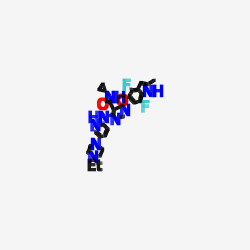 CCN1CCN(c2ccc(Nc3ncnc(Oc4cc(F)c5[nH]c(C)cc5c4F)c3C(=O)NC3CC3)nc2)CC1